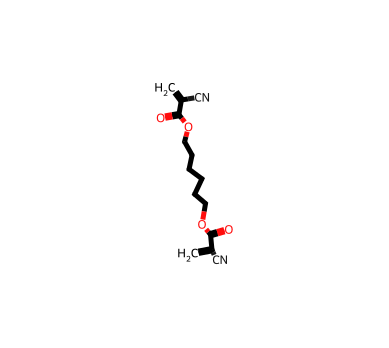 C=C(C#N)C(=O)OCCCCCCOC(=O)C(=C)C#N